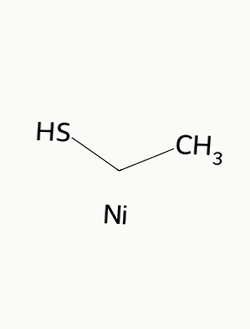 CCS.[Ni]